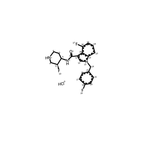 Cl.O=C(NC1CCNC[C@@H]1F)c1cn(Cc2ccc(F)cc2)c2cccc(F)c12